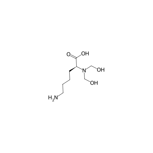 NCCCC[C@@H](C(=O)O)N(CO)CO